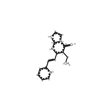 CCc1c(/C=C/c2ccccn2)nc2sccn2c1=O